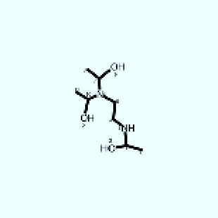 CC(O)NCCN(C(C)O)C(C)O